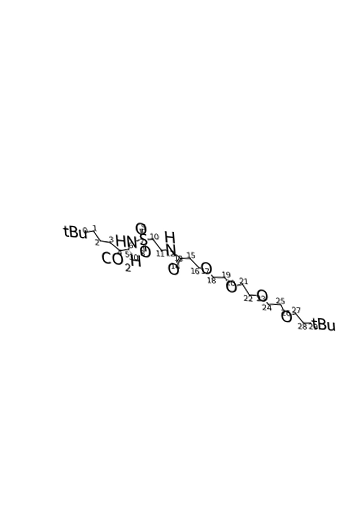 CC(C)(C)CCCC[C@H](NS(=O)(=O)CCNC(=O)CCOCCOCCOCCOCCC(C)(C)C)C(=O)O